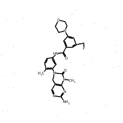 Cc1ccc(NC(=O)c2cc(CF)cc(N3CCOCC3)c2)cc1N1Cc2cnc(N)nc2N(C)C1=O